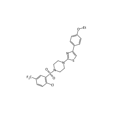 CCOc1ccc(-c2csc(N3CCN(S(=O)(=O)c4cc(C(F)(F)F)ccc4Cl)CC3)n2)cc1